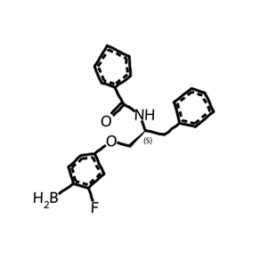 Bc1ccc(OC[C@H](Cc2ccccc2)NC(=O)c2ccccc2)cc1F